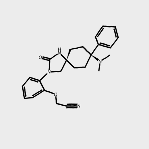 CN(C)[C@]1(c2ccccc2)CC[C@@]2(CC1)CN(c1ccccc1OCC#N)C(=O)N2